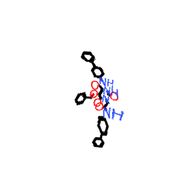 O=C(Cn1c(=O)[nH]c(C(=O)NC2CCC(c3ccccc3)CC2)c(OCc2ccccc2)c1=O)NC1CCC(c2ccccc2)CC1